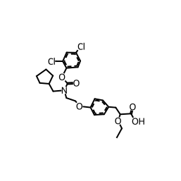 CCOC(Cc1ccc(OCCN(CC2CCCC2)C(=O)Oc2ccc(Cl)cc2Cl)cc1)C(=O)O